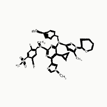 COc1ccc(CN(c2cc(C)n(C3CCCCO3)n2)c2nc(N(C)c3cc(F)c(S(C)(=O)=O)cc3F)nc(-c3cn(C)cn3)c2C2CC2)cc1